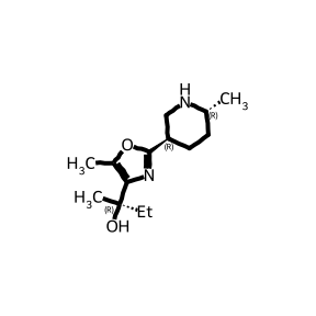 CC[C@@](C)(O)c1nc([C@@H]2CC[C@@H](C)NC2)oc1C